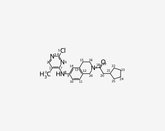 Cc1cnc(Cl)nc1Nc1ccc2c(c1)CCN(C(=O)CC1CCCC1)C2